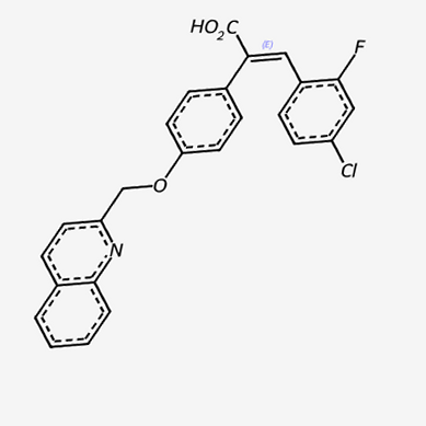 O=C(O)/C(=C/c1ccc(Cl)cc1F)c1ccc(OCc2ccc3ccccc3n2)cc1